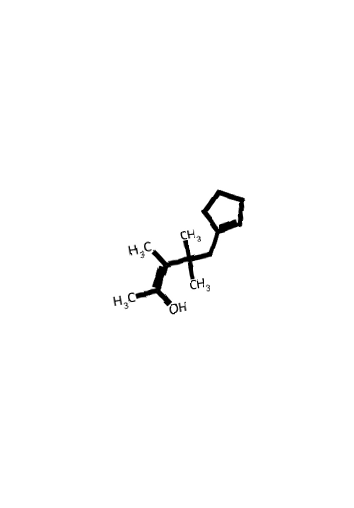 CC(O)=C(C)C(C)(C)CC1=CCCC1